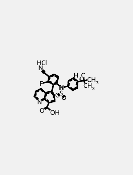 CC(C)(C)c1ccc(N(c2ccc(C#N)c(F)c2-c2ccc(C(=O)O)c3ncccc23)[SH](=O)=O)cc1.Cl